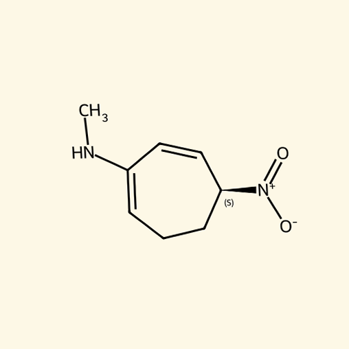 CNC1=CCC[C@H]([N+](=O)[O-])C=C1